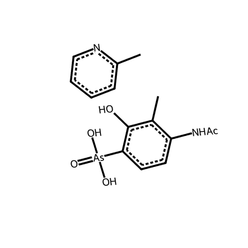 CC(=O)Nc1ccc([As](=O)(O)O)c(O)c1C.Cc1ccccn1